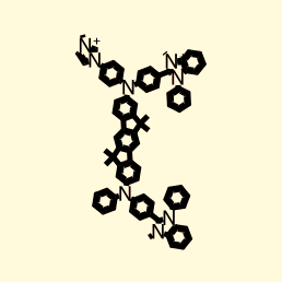 CN1c2ccccc2N(c2ccccc2)C1c1ccc(N(c2ccccc2)c2ccc3c(c2)C(C)(C)c2cc4c(cc2-3)C(C)(C)c2cc(N(c3ccc(-c5n(-c6ccccc6)c6ccccc6[n+]5C)cc3)c3ccc(-n5cc[n+](C)c5)cc3)ccc2-4)cc1